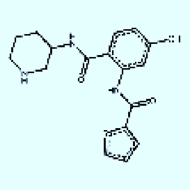 O=C(Nc1cc(O)ccc1C(=O)NC1CCCNC1)c1cccs1